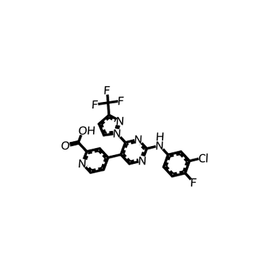 O=C(O)c1cc(-c2cnc(Nc3ccc(F)c(Cl)c3)nc2-n2ccc(C(F)(F)F)n2)ccn1